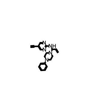 C#Cc1cnc(NC(C=C)N2CCN(c3ccccc3)CC2)nc1